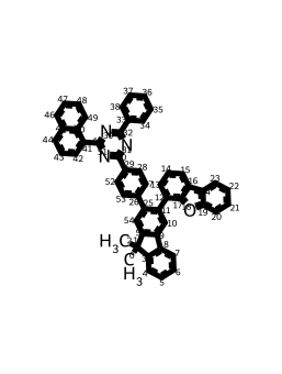 CC1(C)c2ccccc2-c2cc(-c3cccc4c3oc3ccccc34)c(-c3ccc(-c4nc(-c5ccccc5)nc(-c5cccc6ccccc56)n4)cc3)cc21